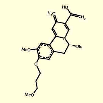 C=C(O)C1=CN2C(=CC1=C)c1cc(OC)c(OCCCOC)cc1C[C@H]2C(C)(C)C